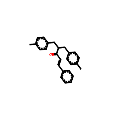 Cc1ccc(CC(Cc2ccc(C)cc2)C(=O)C=Cc2ccccc2)cc1